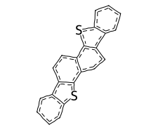 c1ccc2c(c1)sc1c2ccc2c1ccc1c3ccccc3sc12